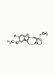 CCC1CC2CC3c4oc5cc(F)c(OC)cc5c4CCN(C2)C13